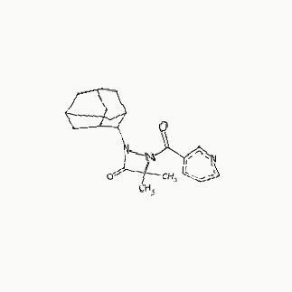 CC1(C)C(=O)N(C2C3CC4CC(C3)CC2C4)N1C(=O)c1cccnc1